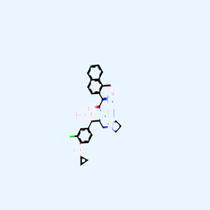 O=C(NC(CN1CCC1)C(O)c1ccc(OC2CC2)c(Cl)c1)C1=NOCc2c1ccc1cc(F)ccc21